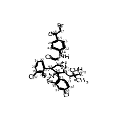 CC(C)(C)C[C@@H]1N[C@@H](C(=O)Nc2ccc(C(=O)CBr)cc2)[C@H](c2cccc(Cl)c2F)[C@@]1(N)c1ccc(Cl)cc1F